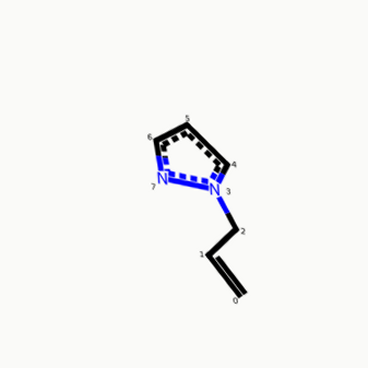 C=CCn1[c]ccn1